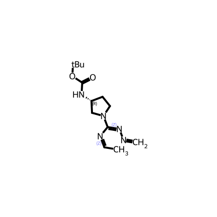 C=N/N=C(\N=C/C)N1CC[C@@H](NC(=O)OC(C)(C)C)C1